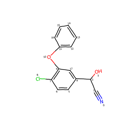 N#CC(O)c1ccc(Cl)c(Oc2ccccc2)c1